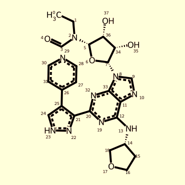 CCN(C=O)[C@H]1O[C@@H](n2cnc3c(N[C@@H]4CCOC4)nc(-c4n[nH]cc4-c4ccncc4)nc32)[C@@H](O)[C@H]1O